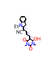 CCN1/C(=C(C#N)/C=C/C=C2\C(=O)N(C)C(=O)N(C)C2O)Cc2ccccc21